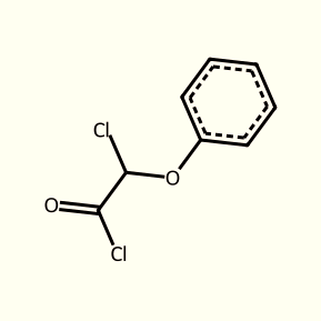 O=C(Cl)C(Cl)Oc1ccccc1